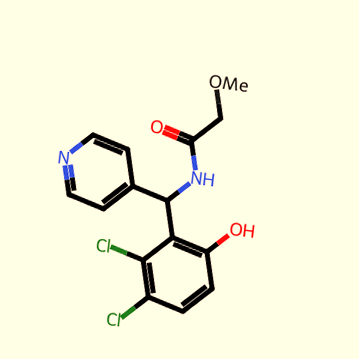 COCC(=O)NC(c1ccncc1)c1c(O)ccc(Cl)c1Cl